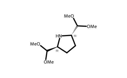 COC(OC)[C@@H]1CC[C@@H](C(OC)OC)N1